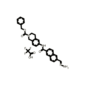 NN=Cc1ccc2cc(C(=O)Nc3ccc4c(c3)CCN(C(=O)OCc3ccccc3)C4)ccc2c1.O=C(O)C(F)(F)F